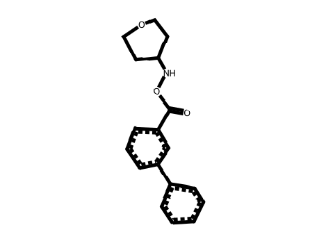 O=C(ONC1CCOCC1)c1cccc(-c2ccccc2)c1